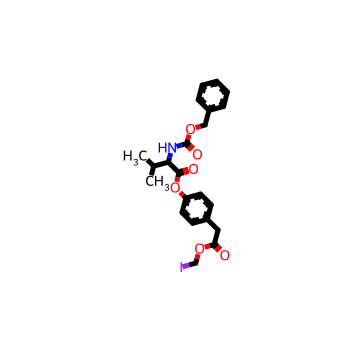 CC(C)C(NC(=O)OCc1ccccc1)C(=O)Oc1ccc(CC(=O)OCI)cc1